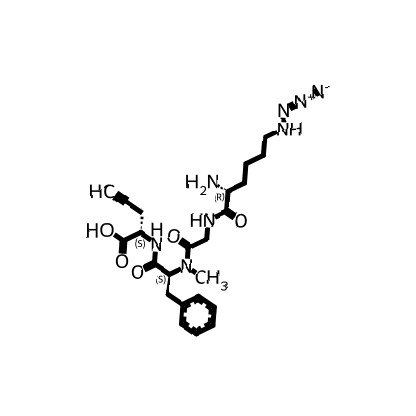 C#CC[C@H](NC(=O)[C@H](Cc1ccccc1)N(C)C(=O)CNC(=O)[C@H](N)CCCCNN=[N+]=[N-])C(=O)O